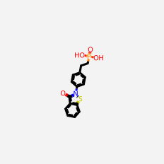 O=c1c2ccccc2sn1-c1ccc(CCP(=O)(O)O)cc1